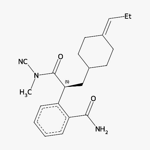 CCC=C1CCC(C[C@H](C(=O)N(C)C#N)c2ccccc2C(N)=O)CC1